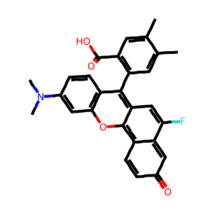 Cc1cc(C(=O)O)c(-c2c3ccc(N(C)C)cc3oc3c2cc(F)c2cc(=O)ccc23)cc1C